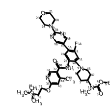 CN(C(=O)OC(C)(C)C)C1CCN(c2cc(F)c(-c3cnc(N4CCOCC4)nc3)cc2NC(=O)c2cnc(OCC[Si](C)(C)C)cc2C(F)(F)F)CC1